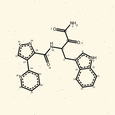 NC(=O)C(=O)C(Cc1c[nH]c2ccccc12)NC(=O)c1nscc1-c1ccccn1